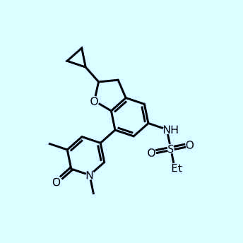 CCS(=O)(=O)Nc1cc2c(c(-c3cc(C)c(=O)n(C)c3)c1)OC(C1CC1)C2